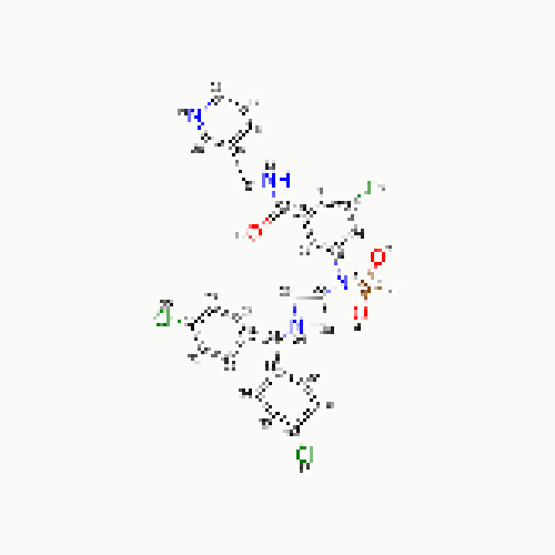 CS(=O)(=O)N(c1cc(F)cc(C(=O)NCc2cccnc2)c1)C1CN(C(c2ccc(Cl)cc2)c2ccc(Cl)cc2)C1